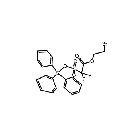 O=C(OCCBr)C(F)(F)S(=O)(=O)OS(c1ccccc1)(c1ccccc1)c1ccccc1